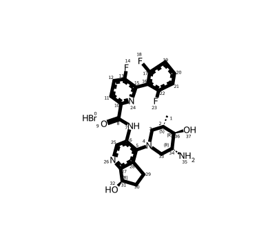 Br.C[C@H]1CN(c2c(NC(=O)c3ccc(F)c(-c4c(F)cccc4F)n3)cnc3c2CC[C@H]3O)C[C@@H](N)[C@@H]1O